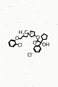 C[N+]1(CCCOc2ccccc2Cl)CC[C@@H](OC(=O)[C@](O)(c2ccccc2)C2CCCC2)C1.[Cl-]